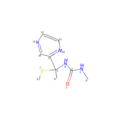 CNC(=O)NC(C)(SC)c1cnccn1